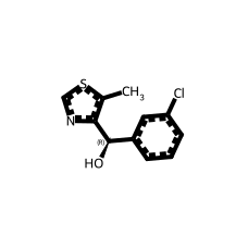 Cc1scnc1[C@H](O)c1cccc(Cl)c1